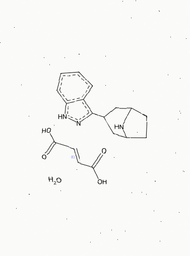 O.O=C(O)/C=C/C(=O)O.c1ccc2c(C3CC4CCC(C3)N4)n[nH]c2c1